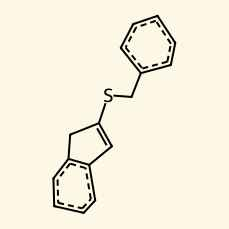 C1=C(SCc2ccccc2)Cc2ccccc21